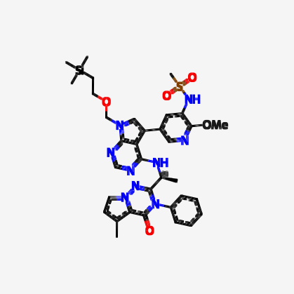 COc1ncc(-c2cn(COCC[Si](C)(C)C)c3ncnc(N[C@@H](C)c4nn5ccc(C)c5c(=O)n4-c4ccccc4)c23)cc1NS(C)(=O)=O